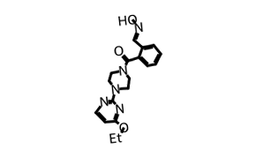 CCOc1ccnc(N2CCN(C(=O)c3ccccc3C=NO)CC2)n1